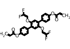 C=CC(=O)Oc1ccc(-c2cc(OC=C(F)F)c(-c3ccc(OC(=O)C=C)cc3)cc2OC=C(F)F)cc1